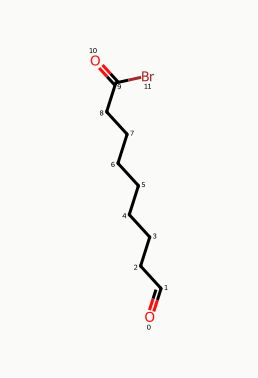 O=CCCCCCCCC(=O)Br